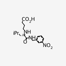 CC(C)C[C@H](NCCCC(=O)O)C(=O)NCc1cccc([N+](=O)[O-])c1